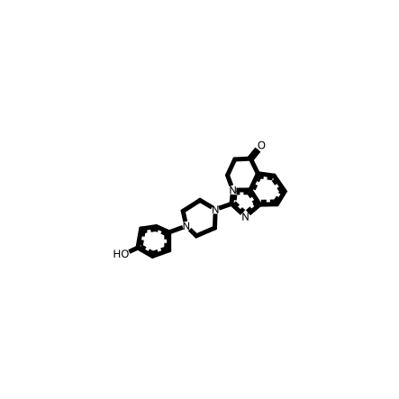 O=C1CCn2c(N3CCN(c4ccc(O)cc4)CC3)nc3cccc1c32